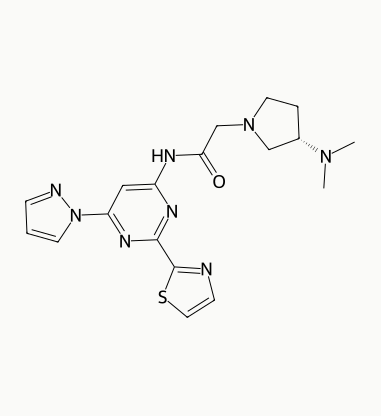 CN(C)[C@H]1CCN(CC(=O)Nc2cc(-n3cccn3)nc(-c3nccs3)n2)C1